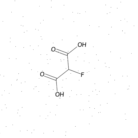 O=C(O)C(F)C(=O)O